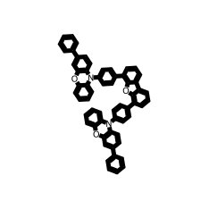 c1ccc(-c2ccc3c(c2)Oc2ccccc2N3c2ccc(-c3cccc4c3oc3c(-c5ccc(N6c7ccccc7Oc7cc(-c8ccccc8)ccc76)cc5)cccc34)cc2)cc1